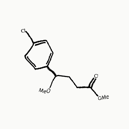 COC(=O)CCC(OC)c1ccc(Cl)cc1